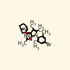 [C-]#[N+]C1CC2CCC(C1)N2c1nc(C)nc2c1c(C)c(C)n2-c1c(C)cc(Br)cc1C